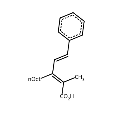 CCCCCCCCC(C=Cc1ccccc1)=C(C)C(=O)O